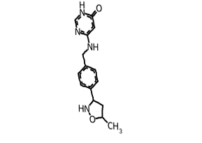 CC1CC(c2ccc(CNc3cc(=O)[nH]cn3)cc2)NO1